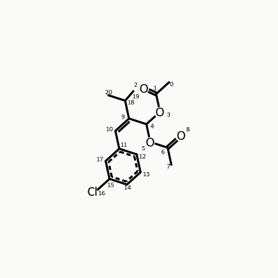 CC(=O)OC(OC(C)=O)C(=Cc1cccc(Cl)c1)C(C)C